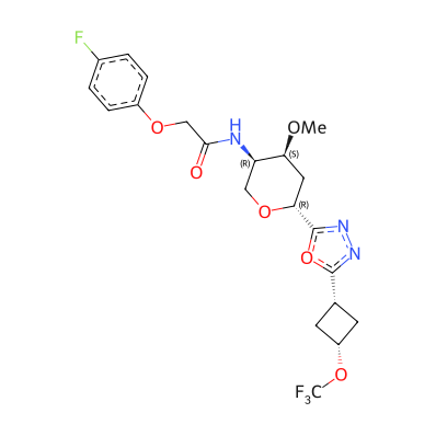 CO[C@H]1C[C@H](c2nnc([C@H]3C[C@@H](OC(F)(F)F)C3)o2)OC[C@H]1NC(=O)COc1ccc(F)cc1